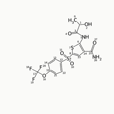 CC(O)C(=O)Nc1sc(S(=O)(=O)c2ccc(OC(F)(F)F)cc2)cc1C(N)=O